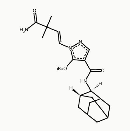 CC(C)COc1c(C(=O)N[C@H]2C3CC4CC(C3)C[C@@H]2C4)cnn1/C=C/C(C)(C)C(N)=O